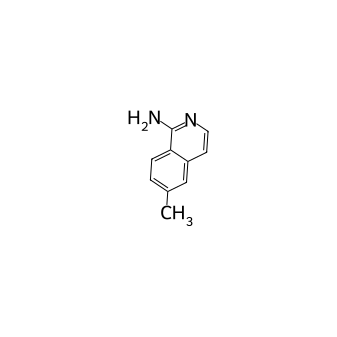 Cc1ccc2c(N)nccc2c1